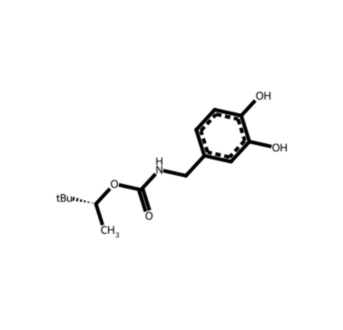 C[C@@H](OC(=O)NCc1ccc(O)c(O)c1)C(C)(C)C